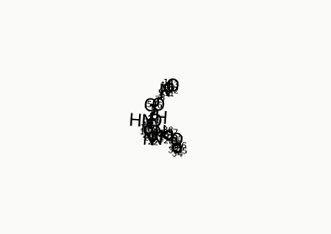 O=C(C=CC(=O)OCCCN1CCOCC1)Nc1ccc2ncnc(Nc3ccc(Oc4ccccc4)cc3)c2c1